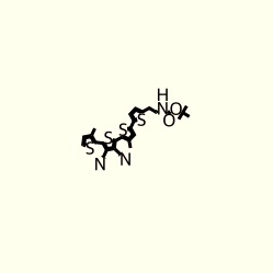 Cc1ccsc1-c1sc(-c2sc(-c3ccc(CCNC(=O)OC(C)(C)C)s3)cc2C)c(C#N)c1C#N